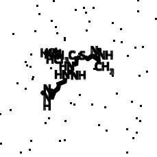 Cc1[nH]cnc1CS[C@@H](C)CNC(=N)NCCCc1c[nH]cn1.Cl.Cl.Cl